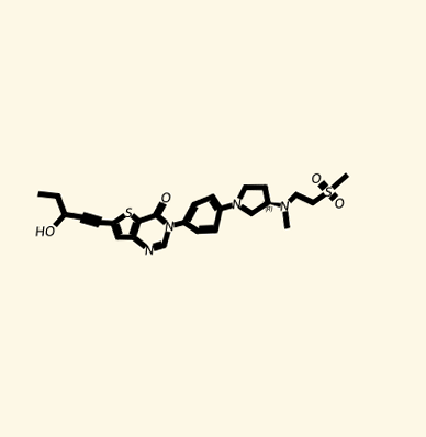 CCC(O)C#Cc1cc2ncn(-c3ccc(N4CC[C@@H](N(C)CCS(C)(=O)=O)C4)cc3)c(=O)c2s1